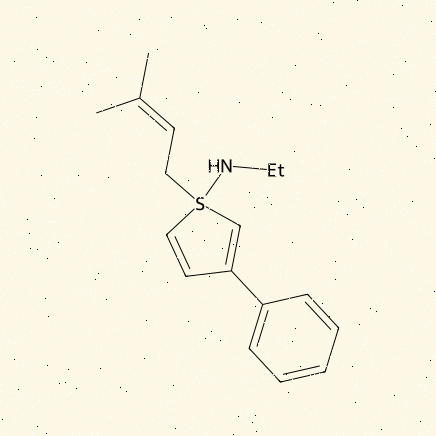 CCNS1(CC=C(C)C)C=CC(c2ccccc2)=C1